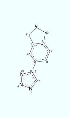 c1cc2c(cc1-n1cnnn1)CCC2